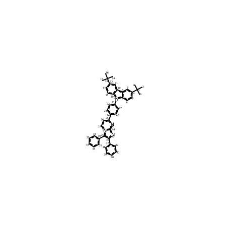 CC(C)(C)c1ccc2c(c1)c1cc(C(C)(C)C)ccc1n2-c1ccc(-c2ccn3c(-c4ccccc4)c(-c4ccccc4)nc3n2)cc1